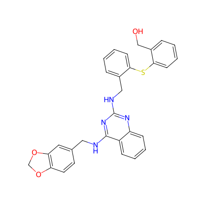 OCc1ccccc1Sc1ccccc1CNc1nc(NCc2ccc3c(c2)OCO3)c2ccccc2n1